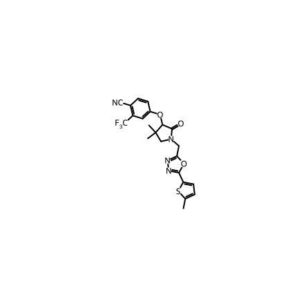 Cc1ccc(-c2nnc(CN3CC(C)(C)C(Oc4ccc(C#N)c(C(F)(F)F)c4)C3=O)o2)s1